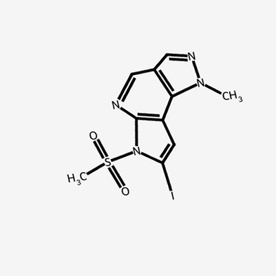 Cn1ncc2cnc3c(cc(I)n3S(C)(=O)=O)c21